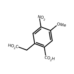 COc1cc(C(=O)O)c(CC(=O)O)cc1[N+](=O)[O-]